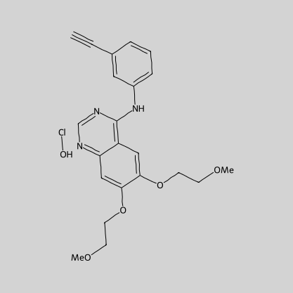 C#Cc1cccc(Nc2ncnc3cc(OCCOC)c(OCCOC)cc23)c1.OCl